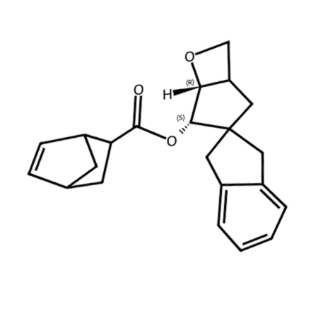 O=C(O[C@@H]1[C@@H]2OCC2CC12Cc1ccccc1C2)C1CC2C=CC1C2